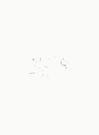 CCN1C(=O)C(C2=CC(c3cnn(C)c3)=CCC2)C(=O)N(C2=CCCC=C2)C2=C1CCC(C(F)(F)F)=C2